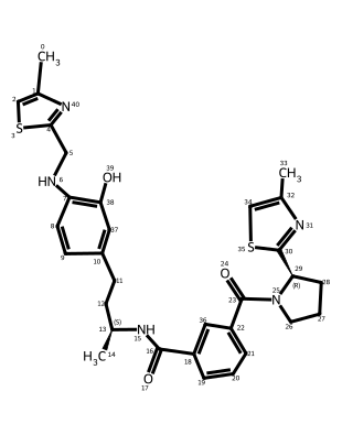 Cc1csc(CNc2ccc(CC[C@H](C)NC(=O)c3cccc(C(=O)N4CCC[C@@H]4c4nc(C)cs4)c3)cc2O)n1